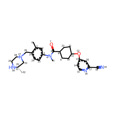 Cc1cc(N(C)C(=O)C2CCC(Oc3ccnc(C#N)c3)CC2)ccc1CN1CCN[C@@H](C)C1